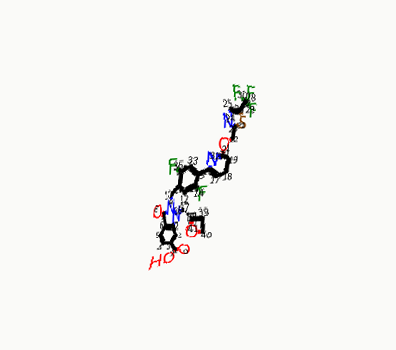 O=C(O)c1ccc2c(=O)n(Cc3cc(F)c(-c4cccc(OCc5ncc(C(F)(F)F)s5)n4)cc3F)n(C[C@@H]3CCO3)c2c1